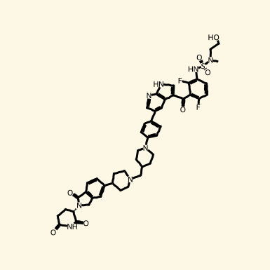 CN(CCO)S(=O)(=O)Nc1ccc(F)c(C(=O)c2c[nH]c3ncc(-c4ccc(N5CCC(CN6CCC(c7ccc8c(c7)CN([C@H]7CCC(=O)NC7=O)C8=O)CC6)CC5)cc4)cc23)c1F